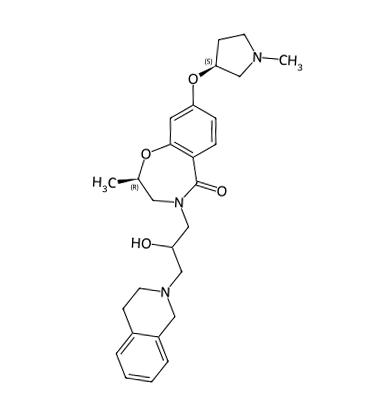 C[C@@H]1CN(CC(O)CN2CCc3ccccc3C2)C(=O)c2ccc(O[C@H]3CCN(C)C3)cc2O1